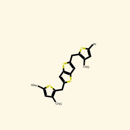 CCCCCCCCCCc1cc(C=O)c(Cc2cc3sc(Cc4sc(C(C)C)cc4C=O)cc3s2)s1